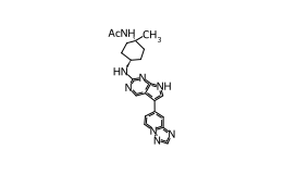 CC(=O)N[C@]1(C)CC[C@@H](Nc2ncc3c(-c4ccn5ncnc5c4)c[nH]c3n2)CC1